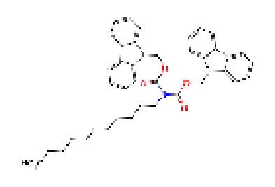 O=C(O)CCCCCCCCCCN(C(=O)OCC1c2ccccc2-c2ccccc21)C(=O)OCC1c2ccccc2-c2ccccc21